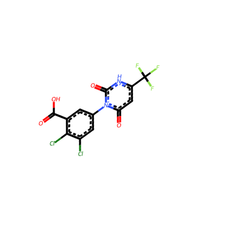 O=C(O)c1cc(-n2c(=O)cc(C(F)(F)F)[nH]c2=O)cc(Cl)c1Cl